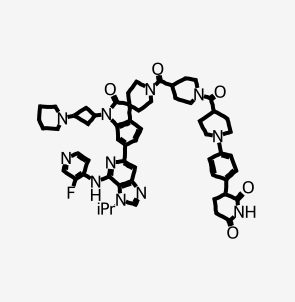 CC(C)n1cnc2cc(-c3ccc4c(c3)N(C3CC(N5CCCCC5)C3)C(=O)C43CCN(C(=O)C4CCN(C(=O)C5CCN(c6ccc(C7CCC(=O)NC7=O)cc6)CC5)CC4)CC3)nc(Nc3ccncc3F)c21